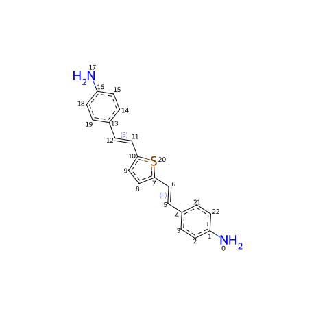 Nc1ccc(/C=C/c2ccc(/C=C/c3ccc(N)cc3)s2)cc1